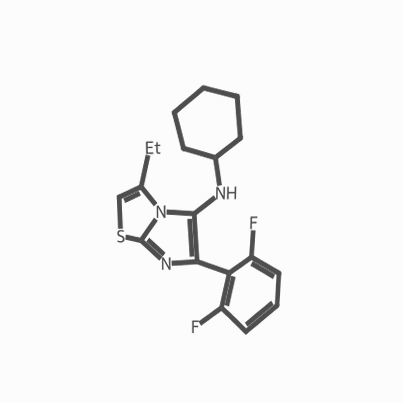 CCc1csc2nc(-c3c(F)cccc3F)c(NC3CCCCC3)n12